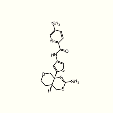 NC1=N[C@@]2(c3cc(NC(=O)c4ccc(N)cn4)cs3)COCC[C@H]2CS1